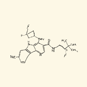 CC(C)(O)[C@H](F)CNC(=O)c1cnc2c([nH]c3cc(C#N)ccc32)c1NC1CC(F)(F)C1